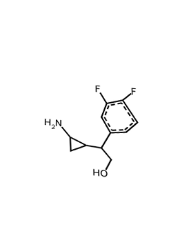 NC1CC1C(CO)c1ccc(F)c(F)c1